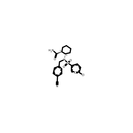 N#Cc1ccc(CN([C@H]2CCCC[C@@H]2C(N)=O)S(=O)(=O)c2ccc(Cl)cc2)cc1